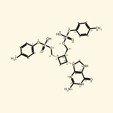 Cc1ccc(OP(=O)(O)OC[C@H]2C[C@@H](N3CNc4c3nc(N)[nH]c4=O)[C@@H]2COP(=O)(O)Oc2ccc(C)cc2)cc1